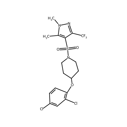 Cc1c(S(=O)(=O)N2CCC(Oc3ccc(Cl)cc3Cl)CC2)c(C(F)(F)F)nn1C